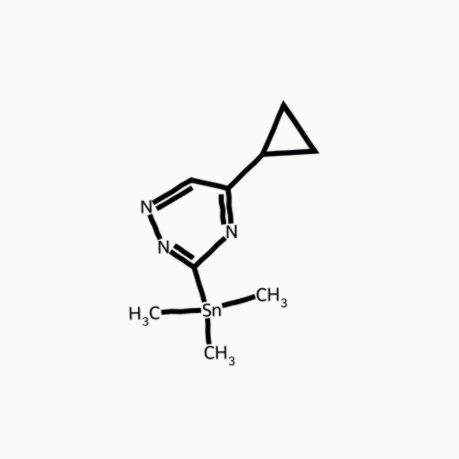 [CH3][Sn]([CH3])([CH3])[c]1nncc(C2CC2)n1